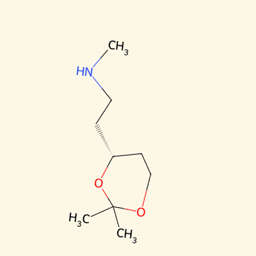 CNCC[C@@H]1CCOC(C)(C)O1